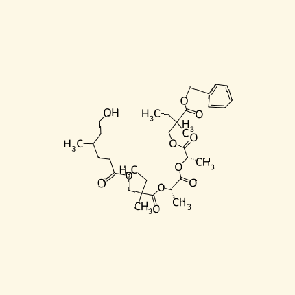 CCC(C)(COC(=O)[C@H](C)OC(=O)[C@H](C)OC(=O)C(C)(CC)COC(=O)CCC(C)CCO)C(=O)OCc1ccccc1